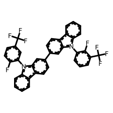 Fc1ccc(C(F)(F)F)cc1-n1c2ccccc2c2ccc(-c3ccc4c5ccccc5n(-c5cccc(C(F)(F)F)c5F)c4c3)cc21